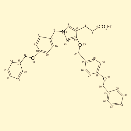 CCOC(=O)CCc1cn(Cc2ccc(OCc3ccccc3)cc2)nc1OCc1ccc(OCc2ccccc2)cc1